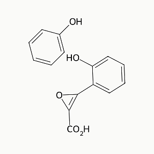 O=C(O)C1=C(c2ccccc2O)O1.Oc1ccccc1